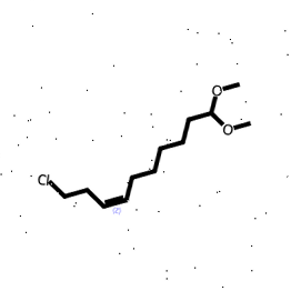 COC(CCCCC/C=C\CCCl)OC